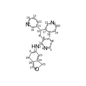 C1=C(Nc2ncccc2CC(c2cccnc2)c2cccnc2)C=C2COC=C2C1